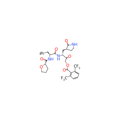 CC(C)C[C@H](NC(=O)[C@H]1CCCO1)C(=O)N[C@@H](C[C@@H]1CCNC1=O)C(=O)COC(=O)c1c(C(F)(F)F)cccc1C(F)(F)F